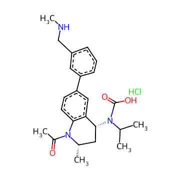 CNCc1cccc(-c2ccc3c(c2)[C@H](N(C(=O)O)C(C)C)C[C@H](C)N3C(C)=O)c1.Cl